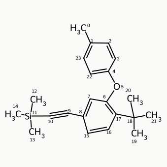 Cc1ccc(Oc2cc(C#C[Si](C)(C)C)ccc2C(C)(C)C)cc1